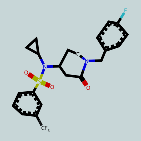 O=C1CC(N(C2CC2)S(=O)(=O)c2cccc(C(F)(F)F)c2)CCN1Cc1ccc(F)cc1